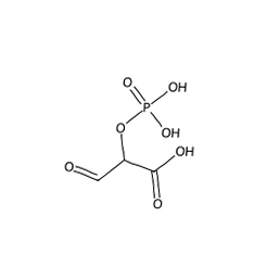 O=CC(OP(=O)(O)O)C(=O)O